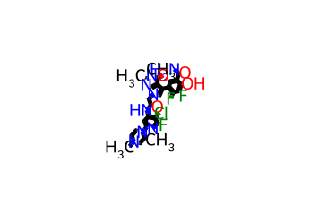 Cc1nc2c(c(-c3cc(C(N)=O)c(O)c(F)c3F)cn2CC(=O)Nc2cc(N3CCN(C)C[C@@H]3C)nc(F)c2Cl)c(=O)n1C